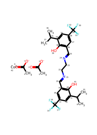 CC(=O)[O-].CC(=O)[O-].CC(C)c1cc(C(F)(F)F)cc(C=NCCN=Cc2cc(C(F)(F)F)cc(C(C)C)c2O)c1O.[Co+2]